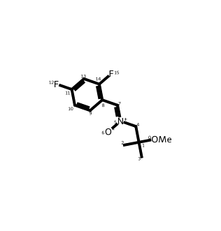 COC(C)(C)C[N+]([O-])=Cc1ccc(F)cc1F